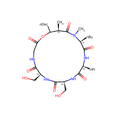 CCCCCCCCCCC1OC(=O)CNC(=O)[C@H](CO)NC(=O)[C@H](CO)NC(=O)[C@H](CCC)NC(=O)[C@H](CCCC)N(C)C(=O)[C@@H]1C